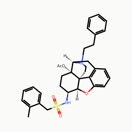 CC(=O)O[C@@]12CC[C@H](NS(=O)(=O)Cc3ccccc3C)[C@@H]3Oc4cccc5c4[C@@]31CCN(CCc1ccccc1)[C@@H]2C5